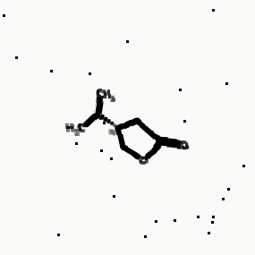 CC(C)[C@H]1COC(=O)C1